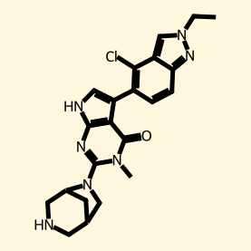 CCn1cc2c(Cl)c(-c3c[nH]c4nc(N5CC6CNCC5C6)n(C)c(=O)c34)ccc2n1